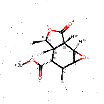 CCCCOC(=O)[C@@H]1[C@H]2[C@H](C(=O)O[C@@H]2C)[C@H]2OC2[C@H]1C